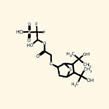 CC(C)(O)C1C2CC(OCC(=O)OC(O)C(F)(F)S(=O)(=O)O)C(S2)C1C(C)(C)O